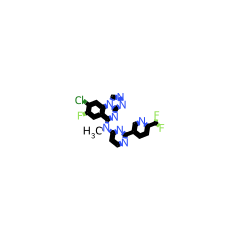 CN(c1ccnc(-c2ccc(C(F)F)nc2)n1)c1nc2nncn2c2cc(Cl)c(F)cc12